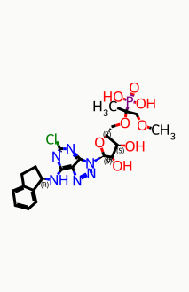 COCC(C)(OC[C@H]1O[C@H](n2nnc3c(N[C@@H]4CCc5ccccc54)nc(Cl)nc32)[C@H](O)[C@@H]1O)P(=O)(O)O